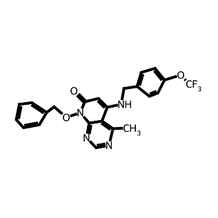 Cc1ncnc2c1c(NCc1ccc(OC(F)(F)F)cc1)cc(=O)n2OCc1ccccc1